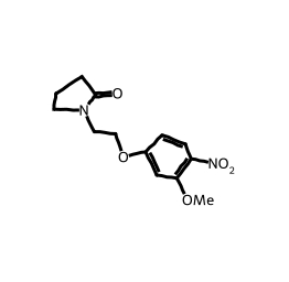 COc1cc(OCCN2CCCC2=O)ccc1[N+](=O)[O-]